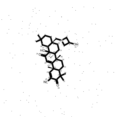 CC1(C)CC[C@]2(CN3CC(O)C3)CC[C@]3(C)C(O)(C(=O)C=C4[C@@]5(C)C=C(C#N)C(=O)C(C)(C)C5CC[C@]43C)C2C1